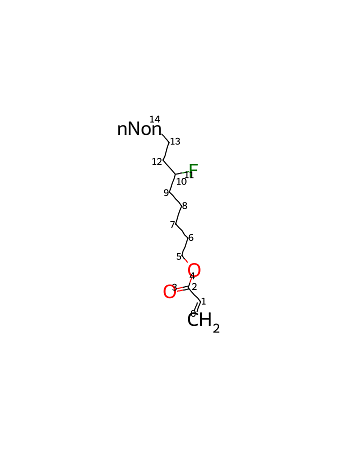 C=CC(=O)OCCCCCC(F)CCCCCCCCCCC